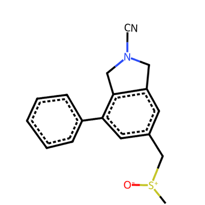 C[S+]([O-])Cc1cc2c(c(-c3ccccc3)c1)CN(C#N)C2